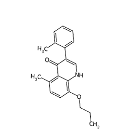 CCCOc1ccc(C)c2c(=O)c(-c3ccccc3C)c[nH]c12